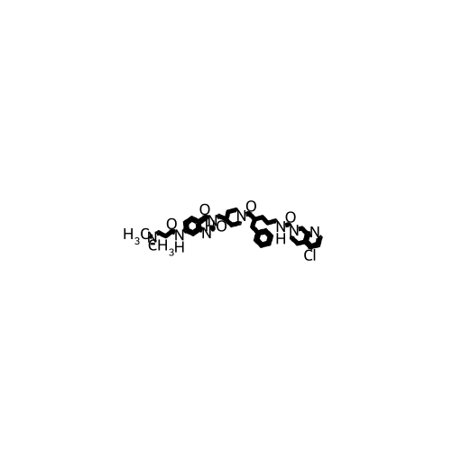 CN(C)CCC(=O)Nc1ccc2c(=O)n(CC3(O)CCN(C(=O)C(CCCNC(=O)N4CCc5c(Cl)ccnc5C4)Cc4ccccc4)CC3)cnc2c1